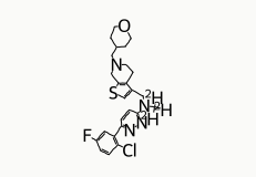 [2H]C([2H])([2H])N(Cc1csc2c1CCN(CC1CCOCC1)C2)c1ccc(-c2cc(F)ccc2Cl)nn1